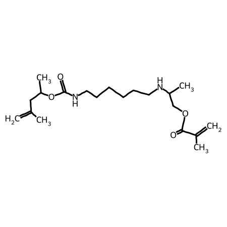 C=C(C)CC(C)OC(=O)NCCCCCCNC(C)COC(=O)C(=C)C